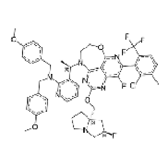 COc1ccc(CN(Cc2ccc(OC)cc2)c2ncccc2[C@@H](C)N2CCOc3nc(-c4c(C(F)(F)F)ccc(C)c4Cl)c(F)c4nc(OC[C@@]56CCCN5C[C@H](F)C6)nc2c34)cc1